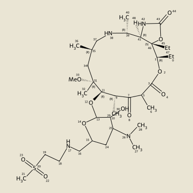 CC[C@H]1OC(=O)C(C)C(=O)[C@H](C)[C@@H](OC2OC(CNCCS(C)(=O)=O)CC(N(C)C)C2O)[C@](C)(OC)C[C@@H](C)CN[C@H](C)[C@H]2NC(=O)O[C@@]21CC